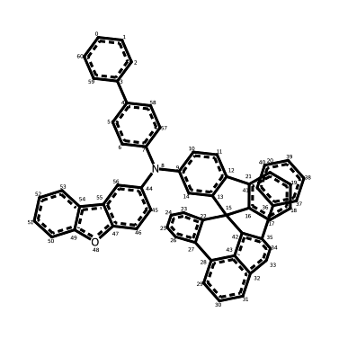 c1ccc(-c2ccc(N(c3ccc4c(c3)C3(c5ccccc5-4)c4ccccc4-c4cccc5ccc(-c6ccccc6)c3c45)c3ccc4oc5ccccc5c4c3)cc2)cc1